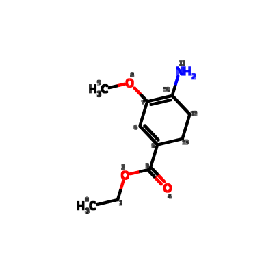 CCOC(=O)C1=CC(OC)=C(N)CC1